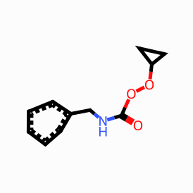 O=C(NCc1ccccc1)OOC1CC1